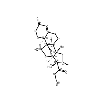 C[C@@H]1C[C@H]2[C@@H]3CCC4=CC(=O)CC[C@]4(C)[C@@]3(F)C(=O)C[C@]2(C)[C@@]1(O)C(=O)CO